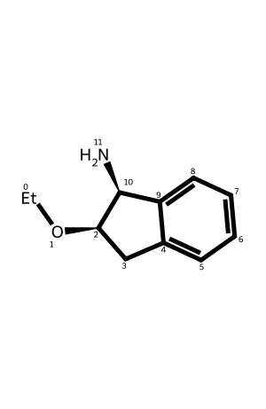 CCO[C@@H]1Cc2ccccc2[C@@H]1N